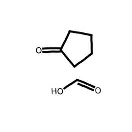 O=C1CCCC1.O=CO